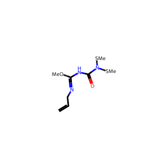 C=CCN=C(NC(=O)N(SC)SC)OC